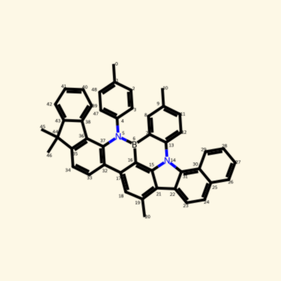 Cc1ccc(N2B3c4cc(C)ccc4-n4c5c3c(cc(C)c5c3ccc5ccccc5c34)-c3ccc4c(c32)-c2ccccc2C4(C)C)cc1